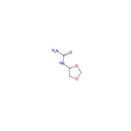 NC(=O)NC1COCO1